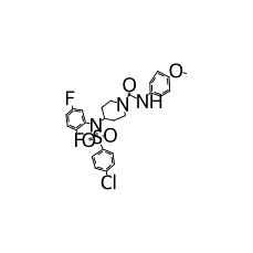 COc1ccc(NC(=O)N2CCC(N(c3cc(F)ccc3F)S(=O)(=O)c3ccc(Cl)cc3)CC2)cc1